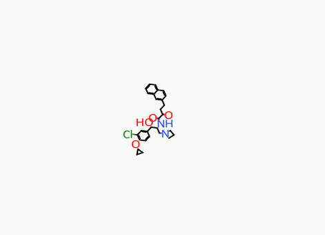 O=C(CCc1ccc2ccccc2c1)C(=O)NC(CN1CCC1)C(O)c1ccc(OC2CC2)c(Cl)c1